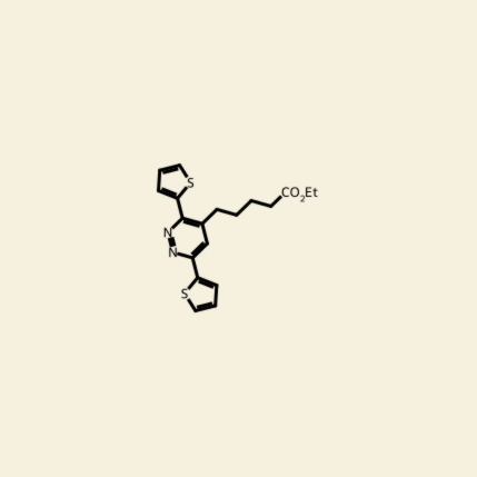 CCOC(=O)CCCCc1cc(-c2cccs2)nnc1-c1cccs1